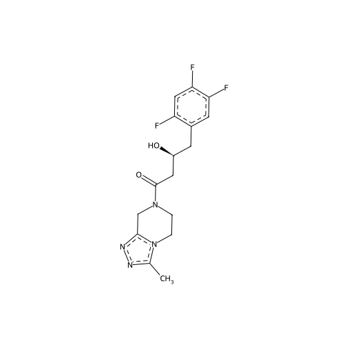 Cc1nnc2n1CCN(C(=O)C[C@@H](O)Cc1cc(F)c(F)cc1F)C2